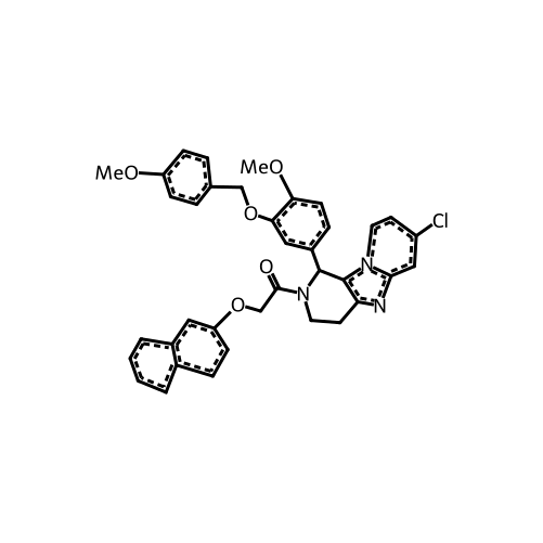 COc1ccc(COc2cc(C3c4c(nc5cc(Cl)ccn45)CCN3C(=O)COc3ccc4ccccc4c3)ccc2OC)cc1